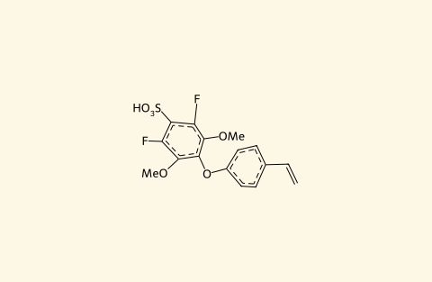 C=Cc1ccc(Oc2c(OC)c(F)c(S(=O)(=O)O)c(F)c2OC)cc1